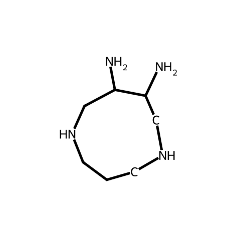 NC1CNCCCNCC1N